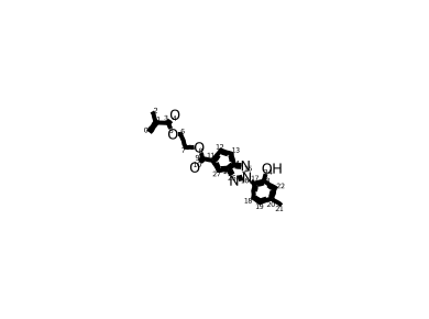 C=C(C)C(=O)OCCOC(=O)c1ccc2nn(-c3ccc(C)cc3O)nc2c1